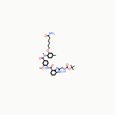 COc1cc(C(=O)N(C)c2ccc(C)cc2OCCCCCC(N)=O)ccc1NC(=O)c1cccc2[nH]c(CNC(=O)OC(C)(C)C)nc12